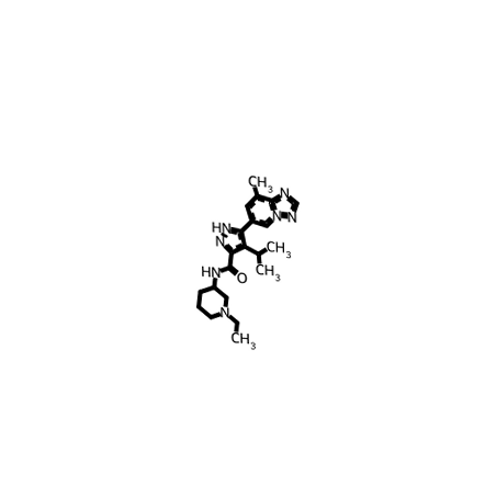 CCN1CCCC(NC(=O)c2n[nH]c(-c3cc(C)c4ncnn4c3)c2C(C)C)C1